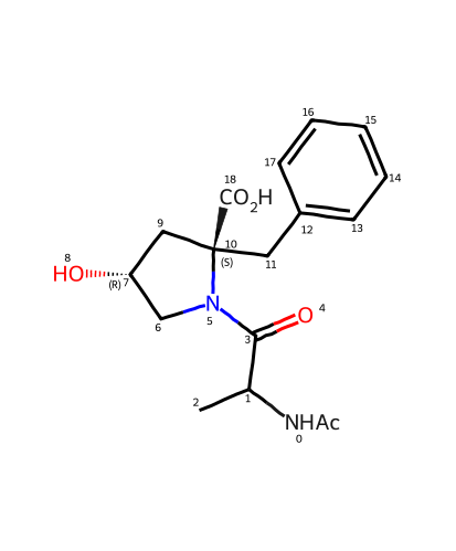 CC(=O)NC(C)C(=O)N1C[C@H](O)C[C@@]1(Cc1ccccc1)C(=O)O